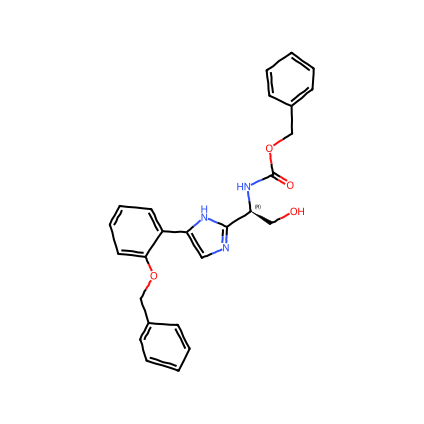 O=C(N[C@@H](CO)c1ncc(-c2ccccc2OCc2ccccc2)[nH]1)OCc1ccccc1